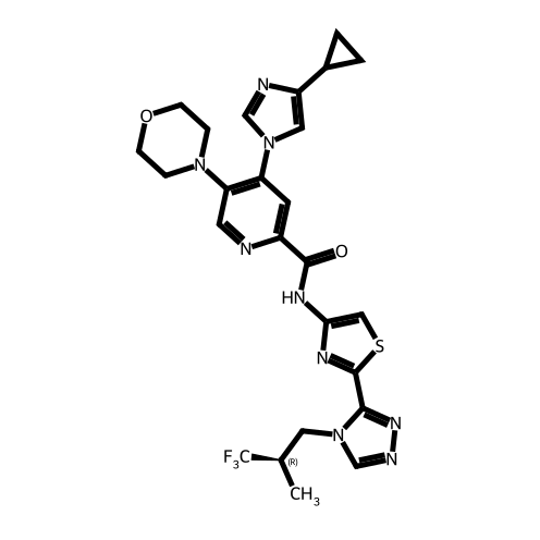 C[C@H](Cn1cnnc1-c1nc(NC(=O)c2cc(-n3cnc(C4CC4)c3)c(N3CCOCC3)cn2)cs1)C(F)(F)F